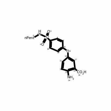 CCCCCNS(=O)(=O)c1ccc(Oc2ccc(N)c(C(=O)O)c2)cc1